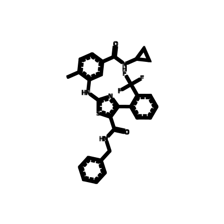 Cc1ccc(C(=O)NC2CC2)cc1Nc1nc(-c2ccccc2C(F)(F)F)c(C(=O)NCc2ccccc2)s1